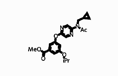 COC(=O)c1cc(Oc2cnc(N(CC3CC3)C(C)=O)cn2)cc(OC(C)C)c1